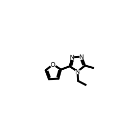 CCn1c(C)nnc1-c1ccco1